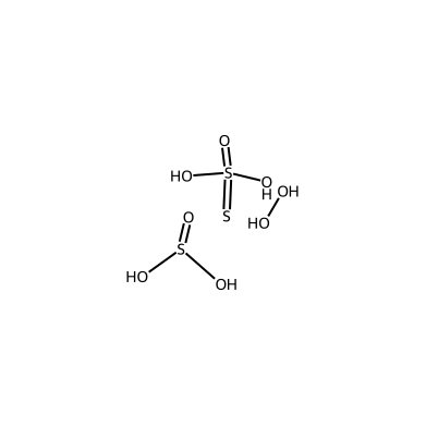 O=S(O)(O)=S.O=S(O)O.OO